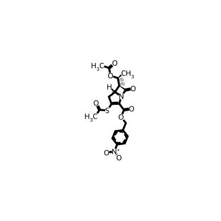 CC(=O)O[C@@H](C)[C@H]1C(=O)N2C(C(=O)OCc3ccc([N+](=O)[O-])cc3)=C(SC(C)=O)C[C@H]12